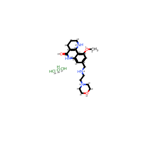 COc1cc(CNCCN2CCOCC2)cc2[nH]c(=O)c3c(c12)NCCC3.Cl.Cl.Cl